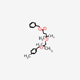 Cc1ccc(COC(C)(C)CCOC(C)(C)CCC(=O)OCc2ccccc2)cc1